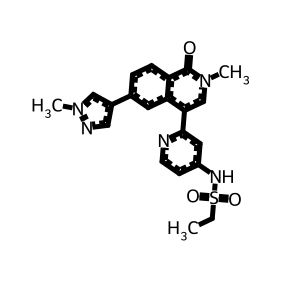 CCS(=O)(=O)Nc1ccnc(-c2cn(C)c(=O)c3ccc(-c4cnn(C)c4)cc23)c1